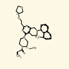 C=CC(=O)N1CCN(c2nc(CCO[C@H]3CCOC3)nc3c2CCN(c2cccc4cccc(C)c24)C3)C[C@@H]1CC#N